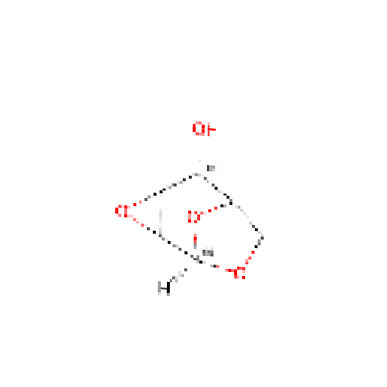 O[C@@H]1C2CO[C@H](O2)C2OC21